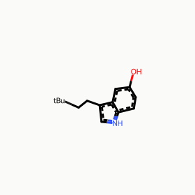 CC(C)(C)CCc1c[nH]c2ccc(O)cc12